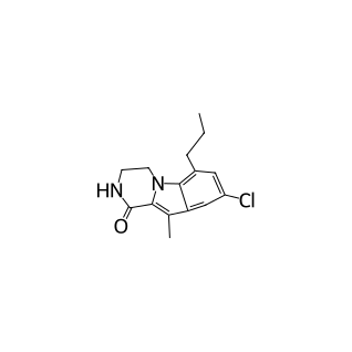 CCCc1cc(Cl)cc2c(C)c3n(c12)CCNC3=O